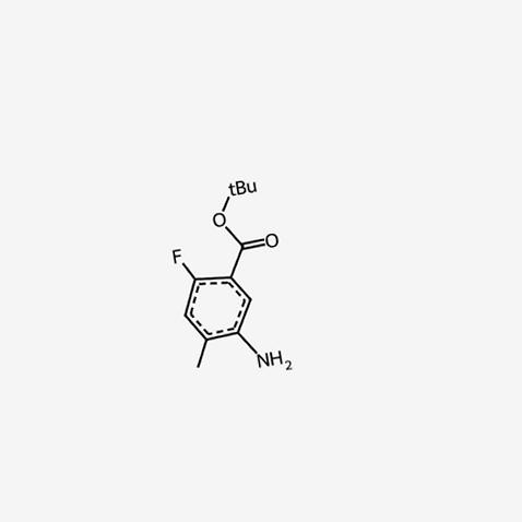 Cc1cc(F)c(C(=O)OC(C)(C)C)cc1N